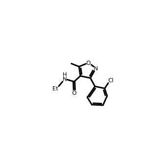 CCNC(=O)c1c(-c2ccccc2Cl)noc1C